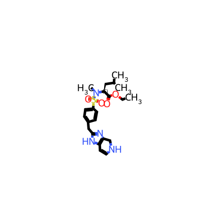 CCOC(=O)[C@H](CC(C)C)N(C)S(=O)(=O)c1ccc(Cc2nc3c([nH]2)C=CNC3)cc1